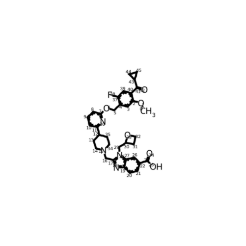 COc1cc(COc2cccc(C3CCN(Cc4nc5ccc(C(=O)O)cc5n4CC4CCO4)CC3)n2)c(F)cc1C(=O)C1CC1